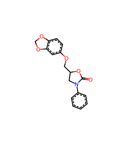 O=C1OC(COc2ccc3c(c2)OCO3)CN1c1ccccc1